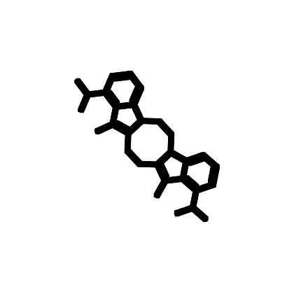 CC1=C2CCC3=C(C)c4c(C(C)C)cccc4C3CCC2c2cccc(C(C)C)c21